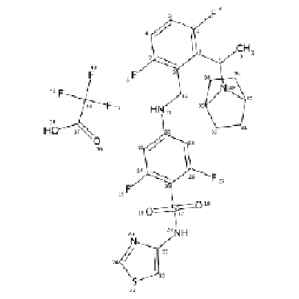 CC(c1c(F)ccc(F)c1CNc1cc(F)c(S(=O)(=O)Nc2cscn2)c(F)c1)N1C2CCC1CC2.O=C(O)C(F)(F)F